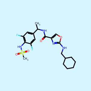 CC(NC(=O)c1coc(NCC2CCCCC2)n1)c1cc(F)c(NS(C)(=O)=O)c(F)c1